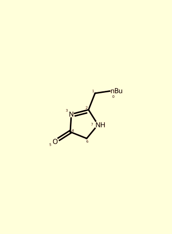 CCCCCC1=NC(=O)CN1